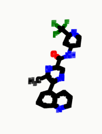 Cc1nc(C(=O)Nc2ccnc(C(F)(F)F)c2)cnc1-c1cccc2ncccc12